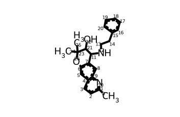 Cc1ccc2cc3c(cc2n1)C(NCCc1ccccc1)C(O)C(C)(C)O3